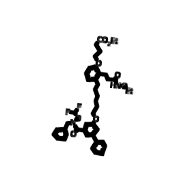 CCONC(=O)CCc1c(CCCCCCOc2cc(C(=O)N(Cc3ccccc3)OC(F)F)cc(-c3ccccc3)c2)cccc1OCCCC(=O)OCC